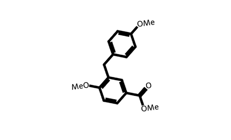 COC(=O)c1ccc(OC)c(Cc2ccc(OC)cc2)c1